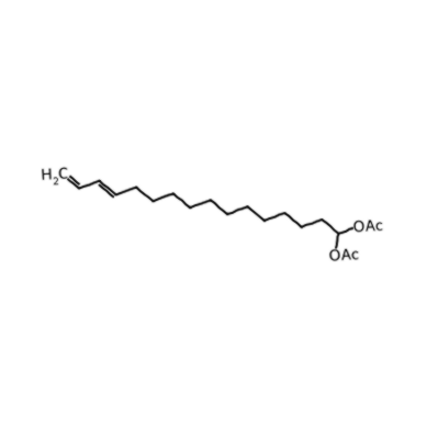 C=C/C=C/CCCCCCCCCCCC(OC(C)=O)OC(C)=O